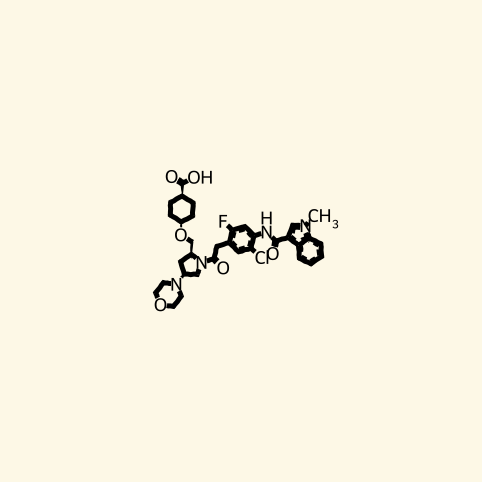 Cn1cc(C(=O)Nc2cc(F)c(CC(=O)N3C[C@@H](N4CCOCC4)C[C@H]3CO[C@H]3CC[C@H](C(=O)O)CC3)cc2Cl)c2ccccc21